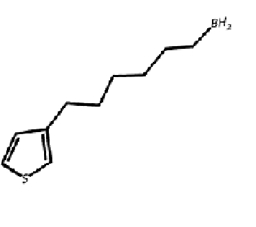 BCCCCCCc1ccsc1